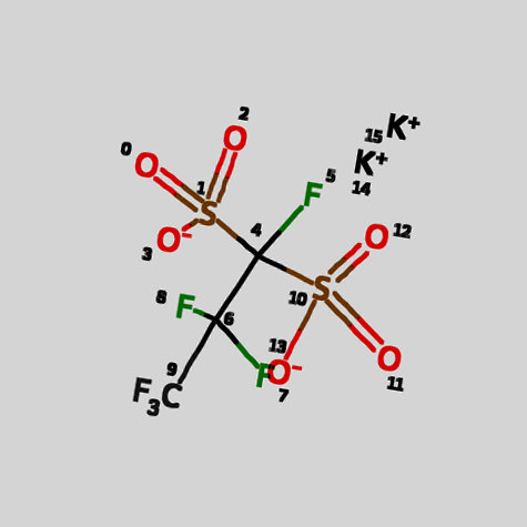 O=S(=O)([O-])C(F)(C(F)(F)C(F)(F)F)S(=O)(=O)[O-].[K+].[K+]